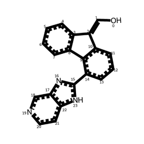 OC=C1c2ccccc2-c2c1cccc2-c1nc2cnccc2[nH]1